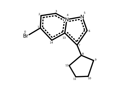 Brc1ccn2ncc(C3CCCC3)c2c1